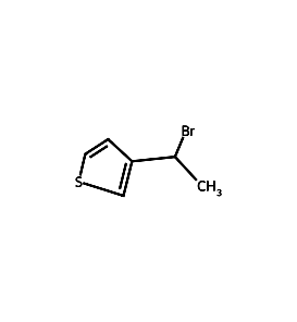 CC(Br)c1ccsc1